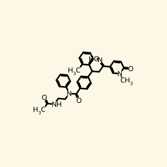 CC(=O)NCCN(C(=O)c1ccc(C(C/C(=N\O)c2ccc(=O)n(C)c2)c2ccccc2C)cc1)c1ccccc1